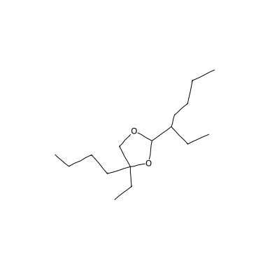 CCCCC(CC)C1OCC(CC)(CCCC)O1